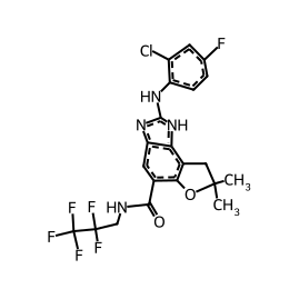 CC1(C)Cc2c(c(C(=O)NCC(F)(F)C(F)(F)F)cc3nc(Nc4ccc(F)cc4Cl)[nH]c23)O1